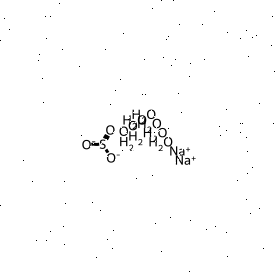 O.O.O.O.O.O.O.O=S([O-])[O-].[Na+].[Na+]